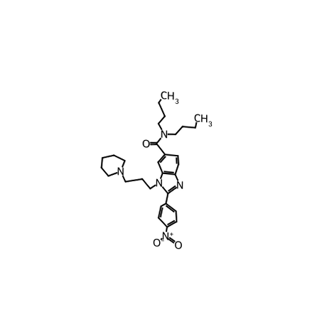 CCCCN(CCCC)C(=O)c1ccc2nc(-c3ccc([N+](=O)[O-])cc3)n(CCCN3CCCCC3)c2c1